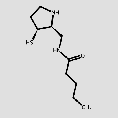 CCCCC(=O)NC[C@@H]1NCC[C@@H]1S